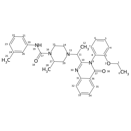 CCOc1ccccc1-n1c(C(C)N2CCN(C(=O)Nc3cccc(C)c3)C(C)C2)nc2ccccc2c1=O